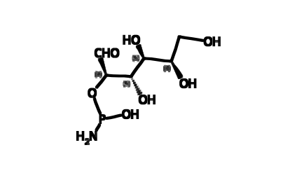 NP(O)O[C@@H](C=O)[C@@H](O)[C@@H](O)[C@H](O)CO